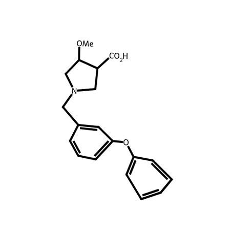 COC1CN(Cc2cccc(Oc3ccccc3)c2)CC1C(=O)O